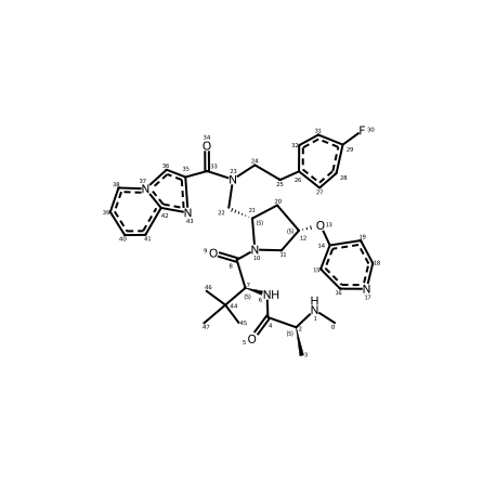 CN[C@@H](C)C(=O)N[C@H](C(=O)N1C[C@@H](Oc2ccncc2)C[C@H]1CN(CCc1ccc(F)cc1)C(=O)c1cn2ccccc2n1)C(C)(C)C